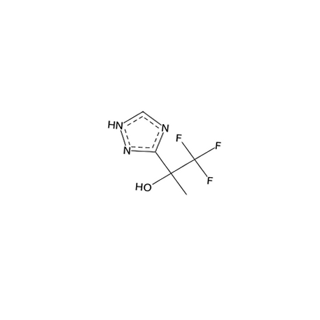 CC(O)(c1nc[nH]n1)C(F)(F)F